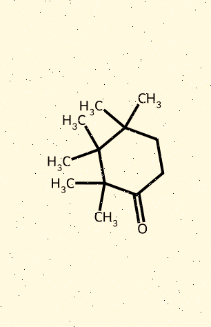 CC1(C)CCC(=O)C(C)(C)C1(C)C